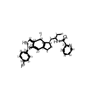 CCC(C[C@H]1CCC2=C1[C@@H](C)C1=CNN(c3ccc(F)cc3)C1=C2)NC(=O)c1ccccn1